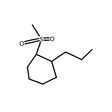 CCCC1CCCCC1S(C)(=O)=O